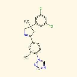 N#Cc1cc(C2=NCC(c3cc(Cl)cc(Cl)c3)(C(F)(F)F)C2)ccc1-n1cncn1